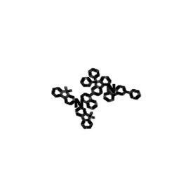 CC1(C)c2ccccc2-c2ccc(N(c3ccc4c(c3)C(C)(C)c3ccccc3-4)c3ccc(-c4ccc5c(c4)C(c4ccccc4)(c4ccccc4)c4cccc(-n6c7ccccc7c7cc(-c8ccccc8)ccc76)c4-5)c4ccccc34)cc21